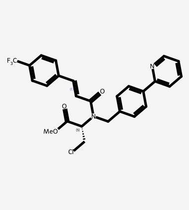 COC(=O)[C@@H](CCl)N(Cc1ccc(-c2ccccn2)cc1)C(=O)/C=C/c1ccc(C(F)(F)F)cc1